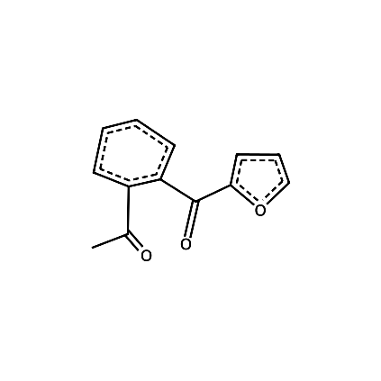 CC(=O)c1ccccc1C(=O)c1ccco1